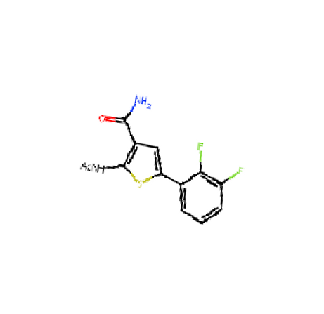 CC(=O)Nc1sc(-c2cccc(F)c2F)cc1C(N)=O